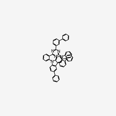 c1ccc(-c2cccc(-c3nc(-c4ccccc4-n4c5ccc(-c6ccccc6)cc5c5cc(-c6ccccc6)ccc54)nc(-n4c5ccccc5c5ccccc54)n3)c2)cc1